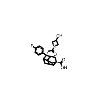 O=C(C[C@]1(c2ccc(F)cc2)C2CC3CC1C[C@@](C(=O)O)(C3)C2)N1CC(O)C1